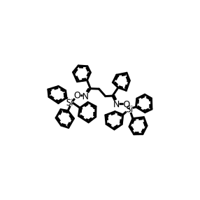 c1ccc(/C(CC/C(=N/O[Si](c2ccccc2)(c2ccccc2)c2ccccc2)c2ccccc2)=N\O[Si](c2ccccc2)(c2ccccc2)c2ccccc2)cc1